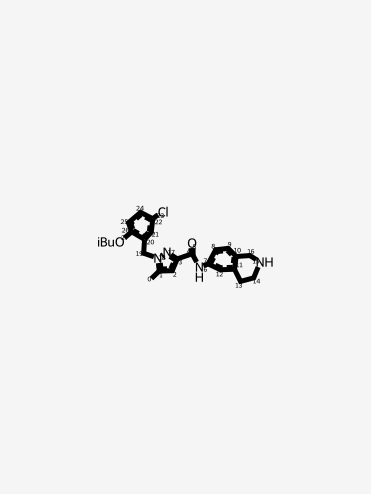 Cc1cc(C(=O)Nc2ccc3c(c2)CCNC3)nn1Cc1cc(Cl)ccc1OCC(C)C